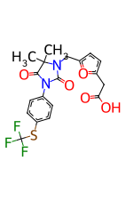 CC1(C)C(=O)N(c2ccc(SC(F)(F)F)cc2)C(=O)N1Cc1ccc(CC(=O)O)o1